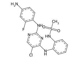 CS(=O)(=O)Nc1ccccc1Nc1nc(Nc2ccc(N)cc2F)ncc1Cl